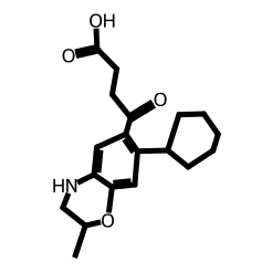 CC1CNc2cc(C(=O)CCC(=O)O)c(C3CCCCC3)cc2O1